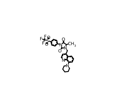 CC1C(=O)N(c2ccc(S(=O)(=O)C(F)(F)F)cc2)C(=O)N1Cc1ccnc2c(N3CCCCC3)cccc12